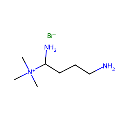 C[N+](C)(C)C(N)CCCN.[Br-]